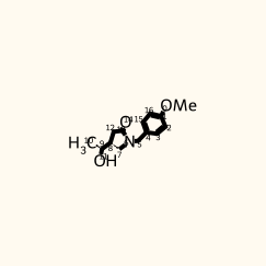 COc1ccc(CN2C[C@H]([C@@H](C)O)CC2=O)cc1